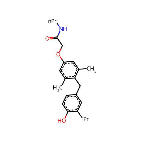 CCCNC(=O)COc1cc(C)c(Cc2ccc(O)c(C(C)C)c2)c(C)c1